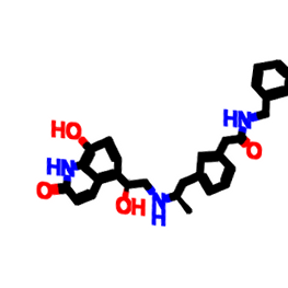 C[C@H](Cc1cccc(CC(=O)NCc2ccccc2)c1)NC[C@@H](O)c1ccc(O)c2[nH]c(=O)ccc12